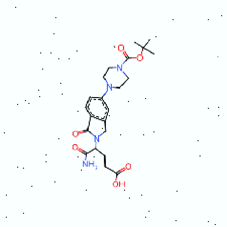 CC(C)(C)OC(=O)N1CCN(c2ccc3c(c2)CN(C(CCC(=O)O)C(N)=O)C3=O)CC1